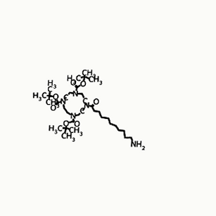 CC(C)(C)OC(=O)N1CCN(C(=O)CCCCCCCCCCN)CCN(C(=O)OC(C)(C)C)CCN(C(=O)OC(C)(C)C)CC1